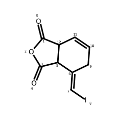 O=C1OC(=O)C2C(=CI)CC=CC12